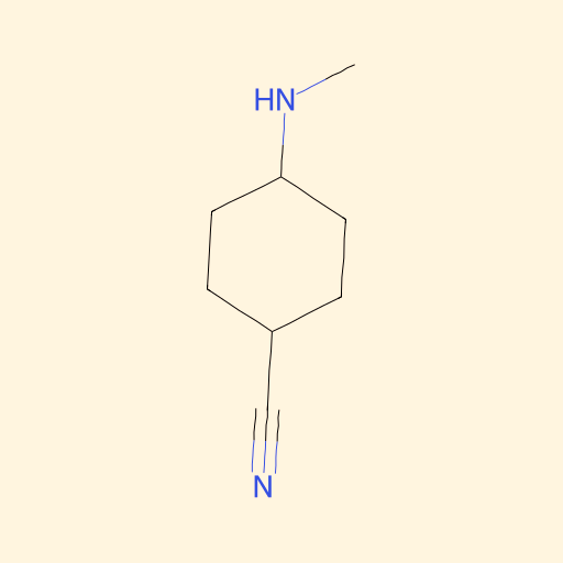 CNC1CCC(C#N)CC1